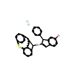 Brc1ccc2c(c1)C(c1ccccc1)[C]([Zr+2][CH]1c3cc4c1cccc4sc1ccc3cc1)=C2.[Cl-].[Cl-]